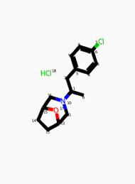 CC(Cc1ccc(Cl)cc1)N1CC2CCC(C1)O2.Cl